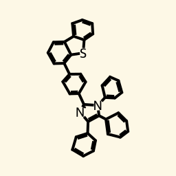 c1ccc(-c2nc(-c3ccc(-c4cccc5c4sc4ccccc45)cc3)n(-c3ccccc3)c2-c2ccccc2)cc1